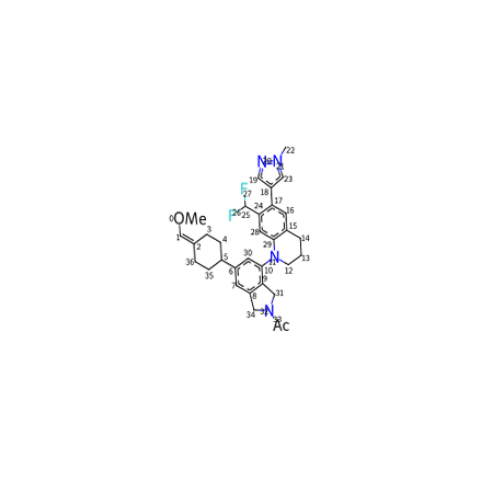 COC=C1CCC(c2cc3c(c(N4CCCc5cc(-c6cnn(C)c6)c(C(F)F)cc54)c2)CN(C(C)=O)C3)CC1